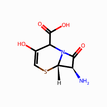 N[C@@H]1C(=O)N2C(C(=O)O)C(O)=CS[C@@H]12